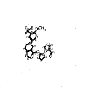 COc1ncc(N2CCc3ncnc(OC4CCCN4N4COC=C4C=O)c3C2)cc1C(F)(F)F